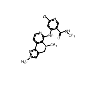 CNC(=O)c1cnc(Cl)cc1Nc1nccc2c1N(C)Cc1cn(C)nc1-2